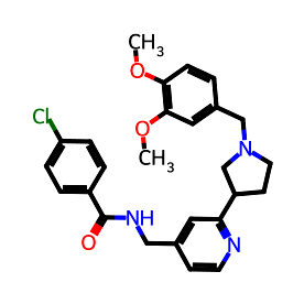 COc1ccc(CN2CCC(c3cc(CNC(=O)c4ccc(Cl)cc4)ccn3)C2)cc1OC